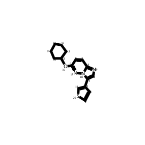 c1cc(-c2cnc3ccc(OC4CCCCC4)nn23)cs1